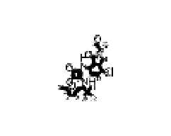 Cc1ccc([C@H](Nc2c(Nc3ccc(Cl)c4c3C(=O)N([C@@H](C)C=O)C4)c(=O)c2=O)C(C)(C)C)o1